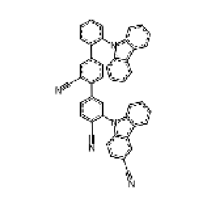 N#Cc1ccc2c(c1)c1ccccc1n2-c1cc(-c2ccc(-c3ccccc3-n3c4ccccc4c4ccccc43)cc2C#N)ccc1C#N